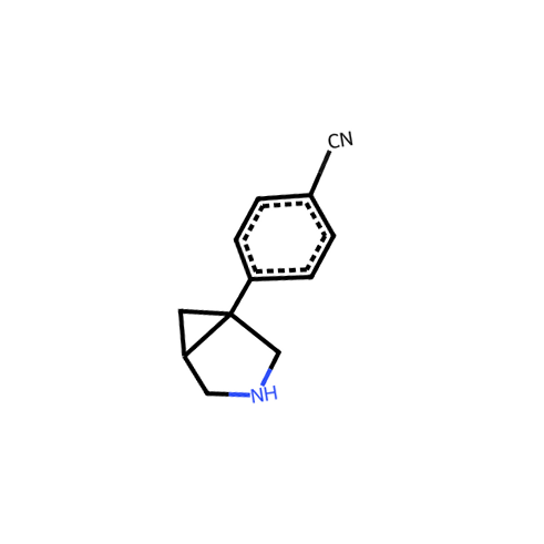 N#Cc1ccc(C23CNCC2C3)cc1